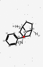 N[C@@H]1C[C@H]2CC[C@@H](C1)N2Cc1ccccc1